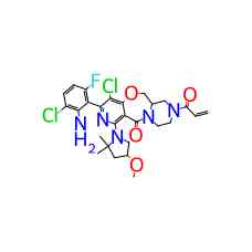 C=CC(=O)N1CCN2C(=O)c3c(N4CC(OC)CC4(C)C)nc(-c4c(F)ccc(Cl)c4N)c(Cl)c3OCC2C1